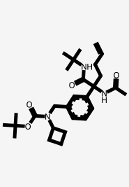 C=CCCC(NC(C)=O)(C(=O)NC(C)(C)C)c1cccc(CN(C(=O)OC(C)(C)C)C2CCC2)c1